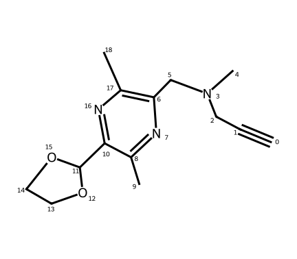 C#CCN(C)Cc1nc(C)c(C2OCCO2)nc1C